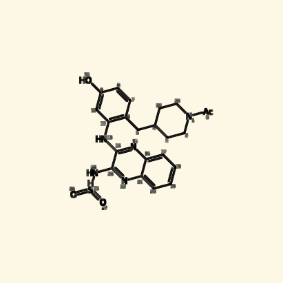 CC(=O)N1CCC(Cc2ccc(O)cc2Nc2nc3ccccc3nc2N[SH](=O)=O)CC1